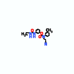 CCNC(=O)Nc1cccc(OC(=O)N(CCC#N)c2cccc(C)c2)c1